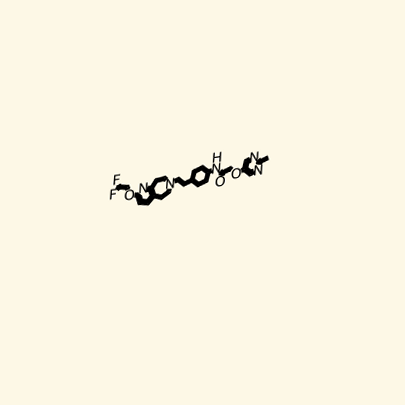 Cc1ncc(OCC(=O)NC2CCC(CCN3CCc4ccc(OCC(F)F)nc4CC3)CC2)cn1